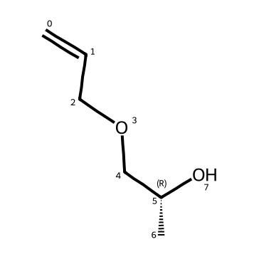 C=CCOC[C@@H](C)O